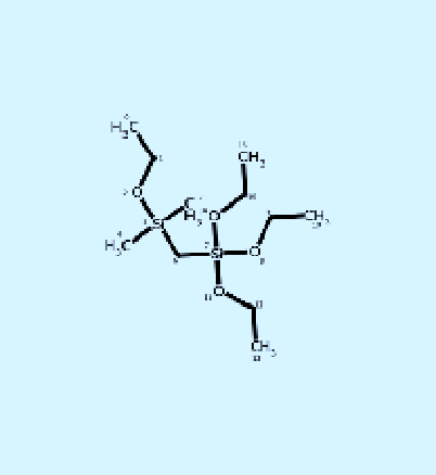 CCO[Si](C)(C)C[Si](OCC)(OCC)OCC